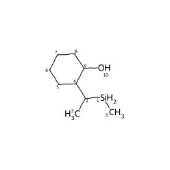 C[SiH2]C(C)C1CCCCC1O